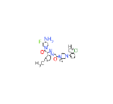 Cc1c(Cl)cccc1N1CCN(C(=O)Cn2nc(C(=O)N3CC[C@H](N)[C@@H](F)C3)c3c2CC2C(C)C32)C2(CC2)C1